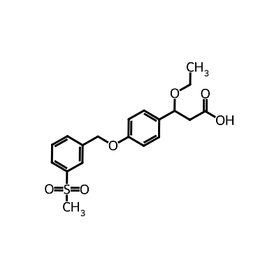 CCOC(CC(=O)O)c1ccc(OCc2cccc(S(C)(=O)=O)c2)cc1